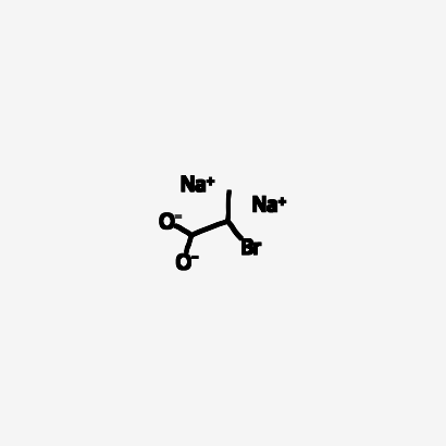 CC(Br)C([O-])[O-].[Na+].[Na+]